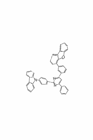 c1ccc(-c2cc(-c3cccc(-c4cccc5c4oc4ccccc45)c3)nc(-c3ccc(-n4c5ccccc5c5ccccc54)cc3)n2)cc1